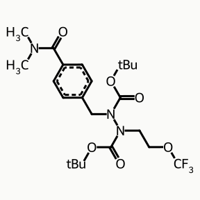 CN(C)C(=O)c1ccc(CN(C(=O)OC(C)(C)C)N(CCOC(F)(F)F)C(=O)OC(C)(C)C)cc1